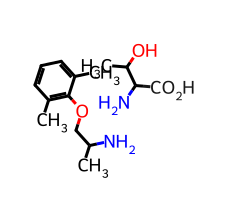 CC(O)C(N)C(=O)O.Cc1cccc(C)c1OCC(C)N